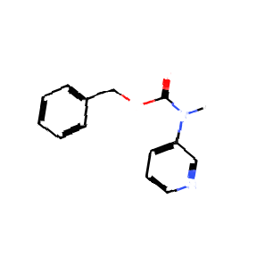 CN(C(=O)OCc1ccccc1)c1cccnc1